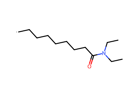 [CH2]CCCCCCCC(=O)N(CC)CC